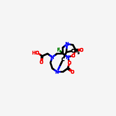 CC1CN2CCN(CC(=O)O)CC3(F)CN1CC(=O)ON3OC(=O)C2